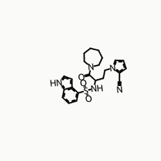 N#Cc1cccn1CCC(NS(=O)(=O)c1cccc2[nH]ccc12)C(=O)N1CCCCCC1